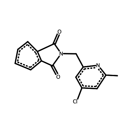 Cc1cc(Cl)cc(CN2C(=O)c3ccccc3C2=O)n1